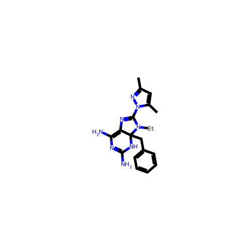 CCN1C(n2nc(C)cc2C)=NC2=C(N)N=C(N)NC21Cc1ccccc1